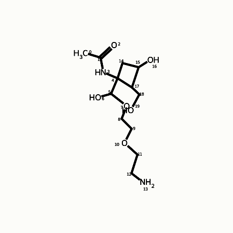 CC(=O)NC1(C(O)OCCOCCN)CC(O)C1CO